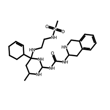 CC1CC(NCCNS(C)(=O)=O)(C2C=CCCC2)NC(NC(=O)NC2Cc3ccccc3CN2)N1